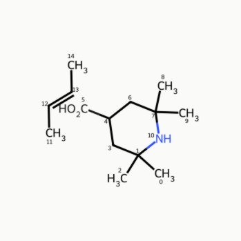 CC1(C)CC(C(=O)O)CC(C)(C)N1.CC=CC